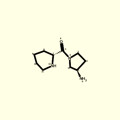 N[C@@H]1CCN(C(=O)[C@H]2CCCCN2)C1